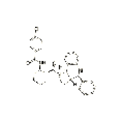 O=C(N[C@@H]1CCCC[C@@H]1C(=O)N1CC[C@H]2[C@H](c3ccccc3)Nc3ccccc3[C@@H]21)c1ccc(Cl)cc1